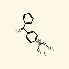 C=C(c1ccccc1)c1ccc([SiH](OC)OC)cc1